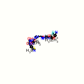 Cc1ncsc1-c1ccc(CNC(=O)[C@@H]2C[C@@H](O)CN2C(=O)[C@@H](NC(=O)CN2CCN(CCCc3cn(-c4ccc(C(=O)N[C@H]5C(C)(C)[C@H](Oc6ccc(C#N)c(C(F)(F)F)c6)C5(C)C)cc4)nn3)CC2)C(C)(C)C)cc1